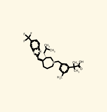 Cc1cc(CN2CCC/C(=C/c3nc4ccc(C(F)(F)F)cc4s3)[C@H](CC(C)C)C2)cc(C(C)(C)C(=O)O)c1